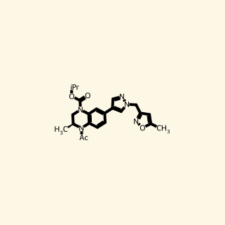 CC(=O)N1c2ccc(-c3cnn(Cc4cc(C)on4)c3)cc2N(C(=O)OC(C)C)C[C@@H]1C